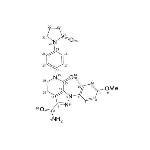 COc1ccc(-n2nc(C(N)=O)c3c2C(=O)N(c2ccc(N4CCCC4=O)cc2)CC3)c(C)c1